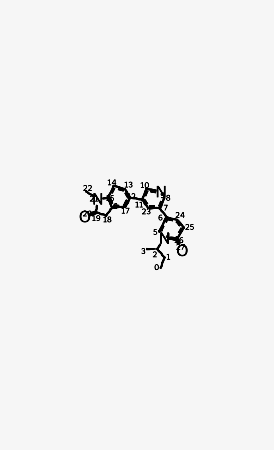 CC[C@@H](C)n1cc(-c2cncc(-c3ccc4c(c3)CC(=O)N4C)c2)ccc1=O